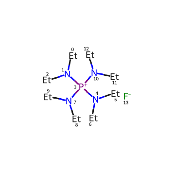 CCN(CC)[P+](N(CC)CC)(N(CC)CC)N(CC)CC.[F-]